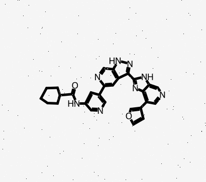 O=C(Nc1cncc(-c2cc3c(-c4nc5c(-c6ccoc6)cncc5[nH]4)n[nH]c3cn2)c1)C1CCCCC1